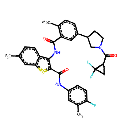 COc1ccc(C2CCN(C(=O)C3CC3(F)F)C2)cc1C(=O)Nc1c(C(=O)Nc2ccc(F)c(C(F)(F)F)c2)sc2cc(C(F)(F)F)ccc12